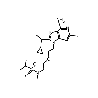 Cc1cc2c(nc(C(C)C3CC3)n2CCOCCN(C)S(=O)(=O)C(C)C)c(N)n1